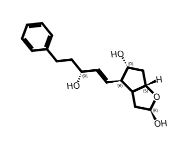 O[C@@H]1C[C@@H]2O[C@@H](O)CC2[C@H]1C=C[C@H](O)CCc1ccccc1